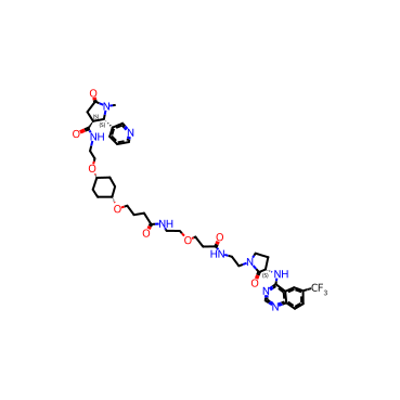 CN1C(=O)C[C@H](C(=O)NCCO[C@H]2CC[C@@H](OCCCC(=O)NCCOCCC(=O)NCCN3CC[C@H](Nc4ncnc5ccc(C(F)(F)F)cc45)C3=O)CC2)[C@H]1c1cccnc1